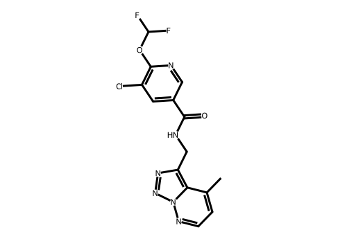 Cc1ccnn2nnc(CNC(=O)c3cnc(OC(F)F)c(Cl)c3)c12